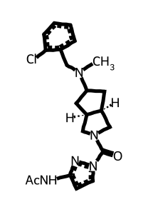 CC(=O)Nc1ccn(C(=O)N2C[C@H]3CC(N(C)Cc4ccccc4Cl)C[C@H]3C2)n1